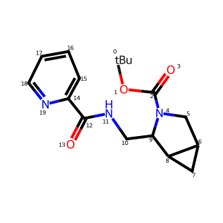 CC(C)(C)OC(=O)N1CC2CC2C1CNC(=O)c1ccccn1